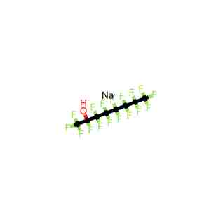 OC(F)(C(F)(F)F)C(F)(F)C(F)(F)C(F)(F)C(F)(F)C(F)(F)C(F)(F)F.[Na]